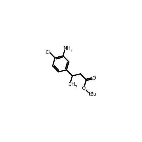 CC(CC(=O)OC(C)(C)C)c1ccc(Cl)c(N)c1